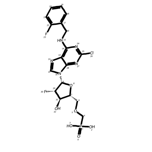 O=P(O)(O)COC[C@H]1O[C@@H](n2cnc3c(NCc4ccccc4F)nc(Cl)nc32)[C@@H](F)[C@@H]1O